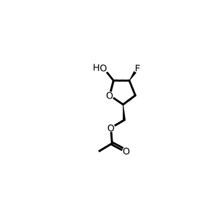 CC(=O)OC[C@@H]1C[C@H](F)C(O)O1